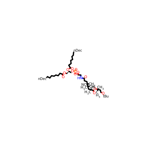 CCCCCCCCCCCCCCCCCC(=O)OC[C@H](COP(=O)(O)OCCNC(=O)CCC(C)(C#N)C(C)(C)CC(C)(C(=O)OC(C)(C)CCOC(C)(C)C)C(C)C)OC(=O)CCCCCCCCCCCCCCCCC